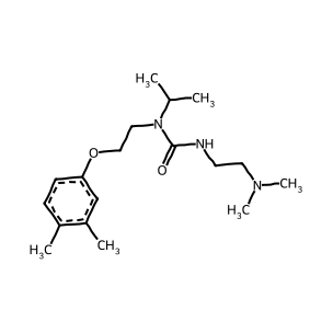 Cc1ccc(OCCN(C(=O)NCCN(C)C)C(C)C)cc1C